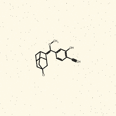 C#Cc1ccc(C(OC)=C2C3CC4CC2CC(Cl)(C4)C3)cc1O